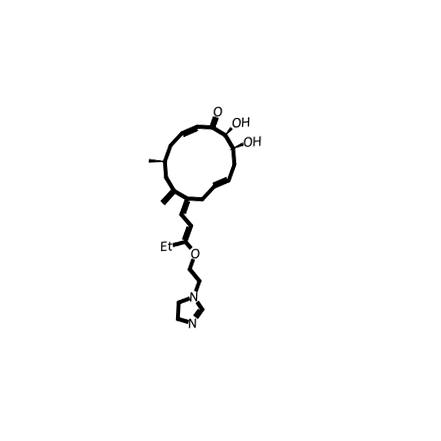 C=C1C[C@@H](C)C/C=C\C(=O)[C@@H](O)[C@@H](O)C/C=C/C/C1=C\C=C(/CC)OCCN1C=NCC1